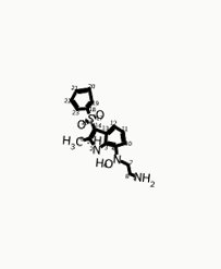 Cc1[nH]c2c(N(O)CCN)cccc2c1S(=O)(=O)c1ccccc1